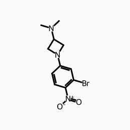 CN(C)C1CN(c2ccc([N+](=O)[O-])c(Br)c2)C1